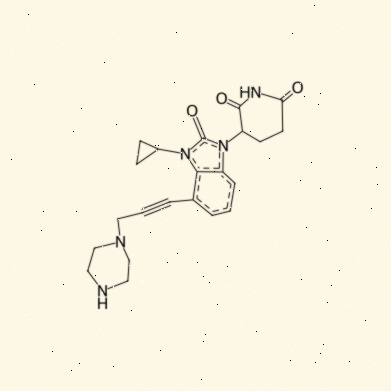 O=C1CCC(n2c(=O)n(C3CC3)c3c(C#CCN4CCNCC4)cccc32)C(=O)N1